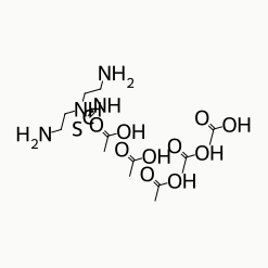 CC(=O)O.CC(=O)O.CC(=O)O.CC(=O)O.CC(=O)O.N=C=S.NCCNCCN